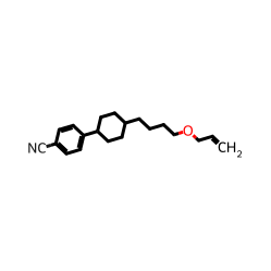 C=CCOCCCCC1CCC(c2ccc(C#N)cc2)CC1